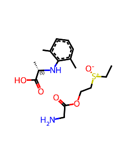 CC[S+]([O-])CCOC(=O)CN.Cc1cccc(C)c1N[C@@H](C)C(=O)O